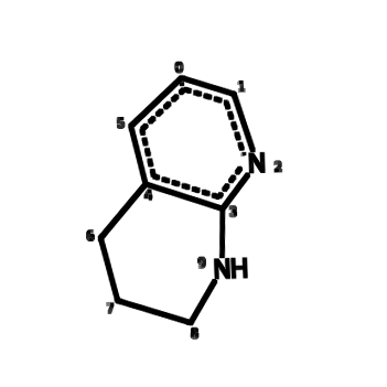 [c]1cnc2c(c1)CCCN2